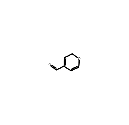 O=CC1=CCOC=C1